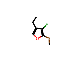 CCc1coc(SC)c1F